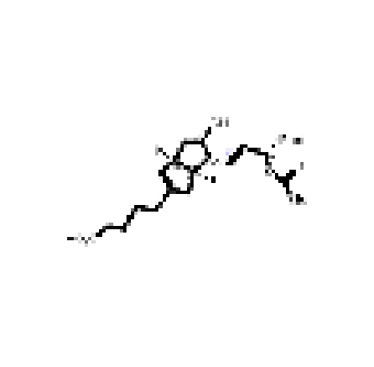 CCCCC[C@@H](/C=C/[C@@H]1[C@H]2CC(CCCCC(=O)O)=C[C@H]2C[C@H]1O)OC(=O)C(C)(C)C